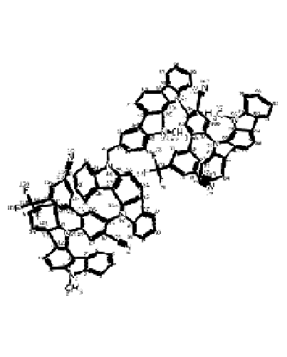 Cn1c2ccccc2c2c1ccc1c3ccccc3n(-c3cc(C#N)c(-n4c5ccccc5c5ccc6c(c7ccccc7n6Cc6ccc7c(c6)c6ccc8c9ccccc9n(-c9cc(-c%10cc(C#N)cc(C(F)(F)F)c%10)c(-n%10c%11ccccc%11c%11ccc%12c%13ccccc%13n(C)c%12c%11%10)cc9C#N)c8c6n7C)c54)cc3-c3cc(C#N)cc(C(F)(F)F)c3)c12